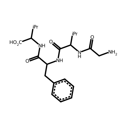 CC(C)C(NC(=O)C(Cc1ccccc1)NC(=O)C(NC(=O)CN)C(C)C)C(=O)O